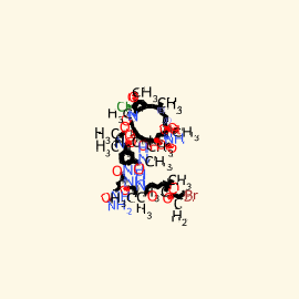 C=C(CBr)C(=O)OC(C)(C)CCCC(C=O)N[C@H](C(=O)N[C@@H](CCCNC(N)=O)C(=O)Nc1ccc(C(=O)N(C)[C@@H](C)C(=O)O[C@H]2CC(=O)N(C)c3cc(cc(OC)c3Cl)C/C(C)=C/C=C/[C@@H](OC)[C@@]3(O)C[C@H](OC(=O)N3)[C@@H](C)[C@H](O)[C@@H]2C)cc1C(=O)NC)C(C)C